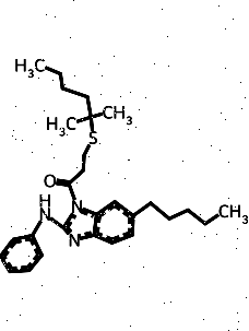 CCCCCc1ccc2nc(Nc3ccccc3)n(C(=O)CCSC(C)(C)CCCC)c2c1